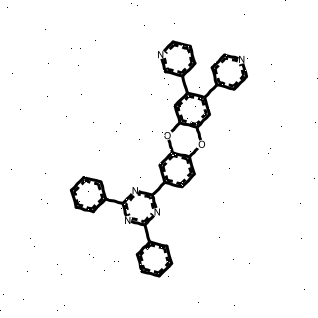 c1ccc(-c2nc(-c3ccccc3)nc(-c3ccc4c(c3)Oc3cc(-c5cccnc5)c(-c5ccncc5)cc3O4)n2)cc1